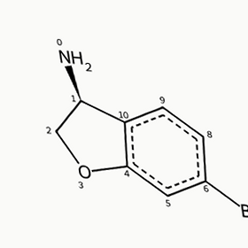 N[C@@H]1COc2cc(Br)ccc21